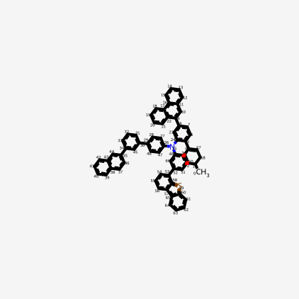 CC1C=CC(c2ccc(-c3cc4ccccc4c4ccccc34)cc2N(c2ccc(-c3cccc(-c4ccc5ccccc5c4)c3)cc2)c2cccc(-c3cccc4c3sc3ccccc34)c2)=CC1